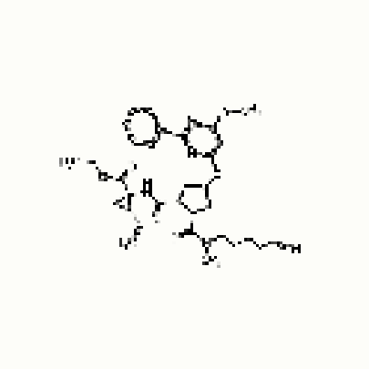 C=CCCCCN(C)C(=O)[C@@H]1C[C@H](Oc2cc(OC)nc(-c3ccccc3)n2)C[C@H]1C(=O)N[C@]1(C(=O)OCC)C[C@H]1C=C